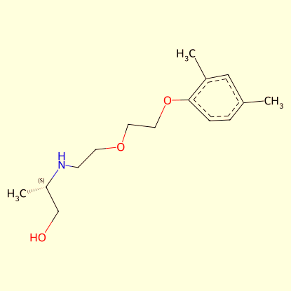 Cc1ccc(OCCOCCN[C@@H](C)CO)c(C)c1